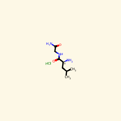 CC(C)C[C@H](N)C(=O)NCC(N)=O.Cl